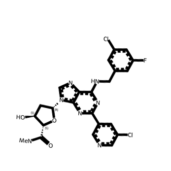 CNC(=O)[C@H]1O[C@@H](n2cnc3c(NCc4cc(F)cc(Cl)c4)nc(-c4cncc(Cl)c4)nc32)C[C@@H]1O